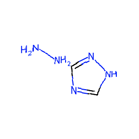 NN.c1nc[nH]n1